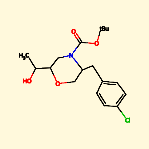 CC(O)C1CN(C(=O)OC(C)(C)C)C(Cc2ccc(Cl)cc2)CO1